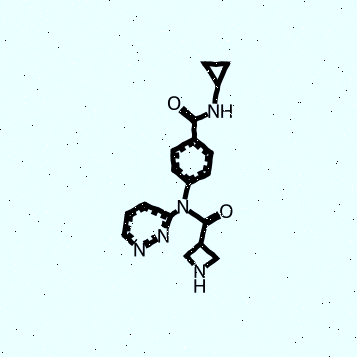 O=C(NC1CC1)c1ccc(N(C(=O)C2CNC2)c2cccnn2)cc1